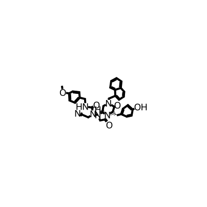 COc1ccc(CNC(=O)N(CC#N)N2CC(=O)N3[C@@H](Cc4ccc(O)cc4)C(=O)N(Cc4cccc5ccccc45)C[C@@H]32)cc1